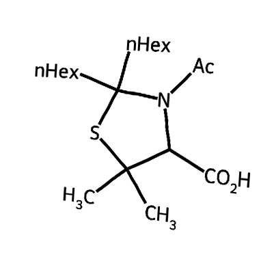 CCCCCCC1(CCCCCC)SC(C)(C)C(C(=O)O)N1C(C)=O